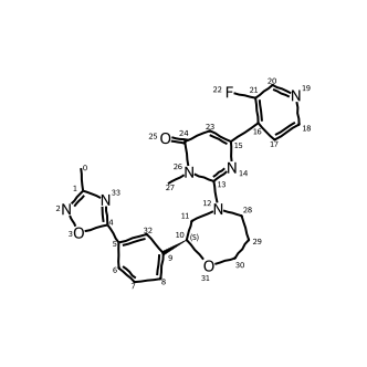 Cc1noc(-c2cccc([C@H]3CN(c4nc(-c5ccncc5F)cc(=O)n4C)CCCO3)c2)n1